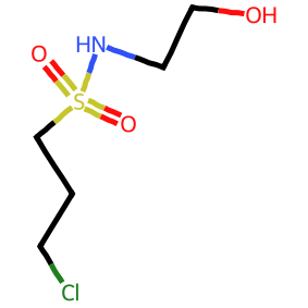 O=S(=O)(CCCCl)NCCO